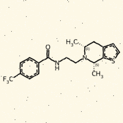 C[C@@H]1Cc2ccsc2[C@H](C)N1CCNC(=O)c1ccc(C(F)(F)F)cc1